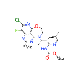 CSc1nc2c3c(nc(Cl)c(F)c3n1)OCCN2C(C)c1cc(C)cnc1NC(=O)OC(C)(C)C